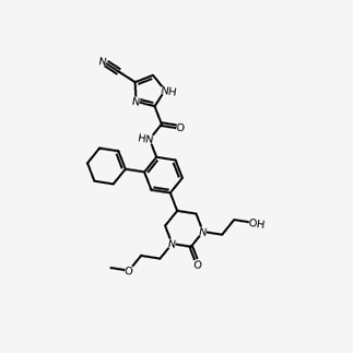 COCCN1CC(c2ccc(NC(=O)c3nc(C#N)c[nH]3)c(C3=CCCCC3)c2)CN(CCO)C1=O